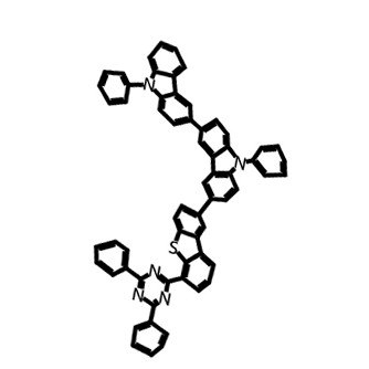 c1ccc(-c2nc(-c3ccccc3)nc(-c3cccc4c3sc3ccc(-c5ccc6c(c5)c5cc(-c7ccc8c(c7)c7ccccc7n8-c7ccccc7)ccc5n6-c5ccccc5)cc34)n2)cc1